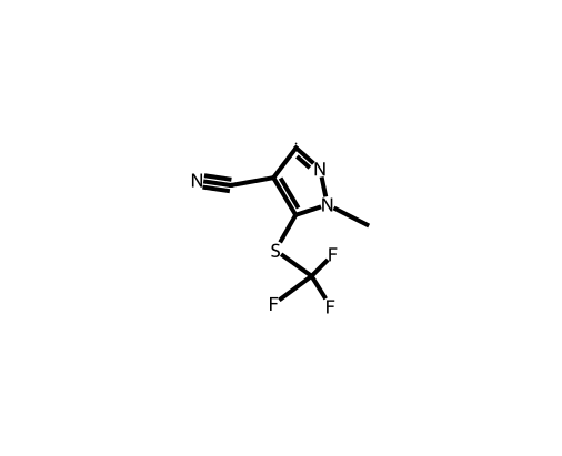 Cn1n[c]c(C#N)c1SC(F)(F)F